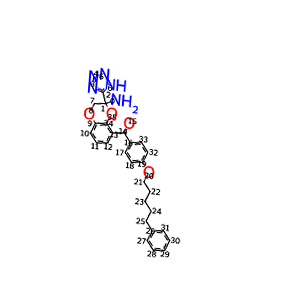 NC1(c2nnn[nH]2)COc2cccc(C(=O)c3ccc(OCCCCCc4ccccc4)cc3)c2O1